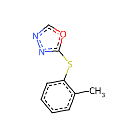 Cc1ccccc1Sc1nnco1